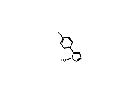 O=C(O)n1nccc1-c1ccc(Br)cc1